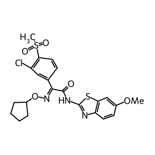 COc1ccc2nc(NC(=O)C(=NOC3CCCC3)c3ccc(S(C)(=O)=O)c(Cl)c3)sc2c1